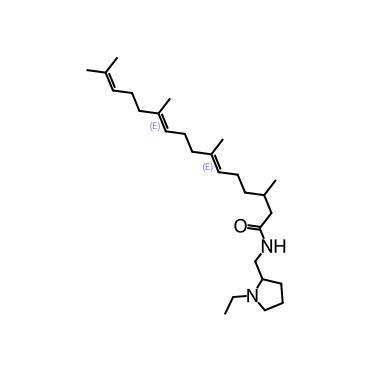 CCN1CCCC1CNC(=O)CC(C)CC/C=C(\C)CC/C=C(\C)CCC=C(C)C